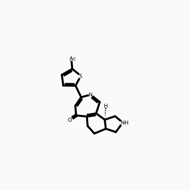 CC(=O)c1ccc(-c2cc(=O)c3c(cn2)[C@H]2CNCC2CC3)s1